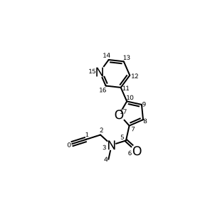 C#CCN(C)C(=O)c1ccc(-c2cccnc2)o1